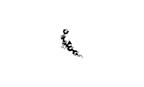 C[C@@](c1ccc(-c2cnc(N)nc2)nc1)(c1noc(-c2cnn(C3CCOCC3)c2)n1)C1CC1